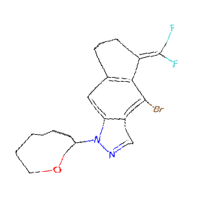 FC(F)=C1CCc2cc3c(cnn3C3CCCCO3)c(Br)c21